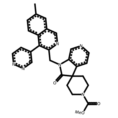 COC(=O)N1CCC2(CC1)C(=O)N(Cc1ncc3cc(C)ccc3c1-c1ccnnc1)c1cnccc12